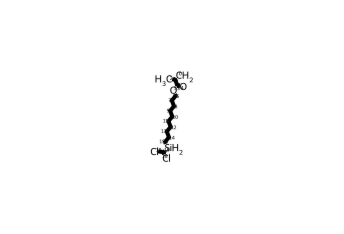 C=C(C)C(=O)OCCCCCCCCCC[SiH2]C(Cl)Cl